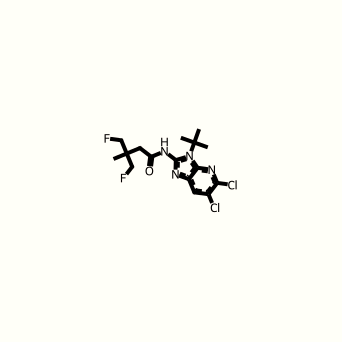 CC(CF)(CF)CC(=O)Nc1nc2cc(Cl)c(Cl)nc2n1C(C)(C)C